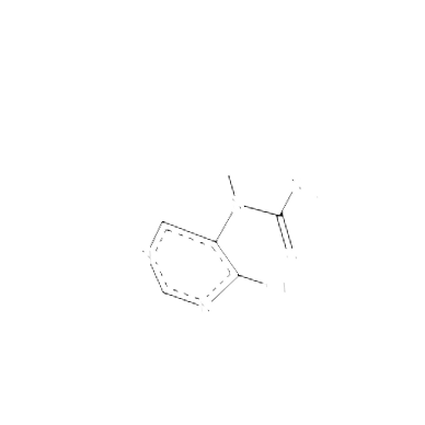 Cc1ncncc1N(S)C(N)=O